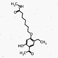 CCc1cc(C(C)=O)c(O)cc1OCCCCCCC(=O)NC